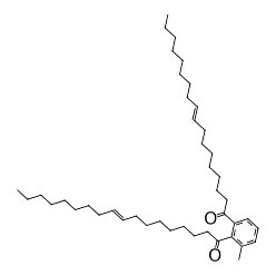 CCCCCCCCC=CCCCCCCCC(=O)c1cccc(C)c1C(=O)CCCCCCCC=CCCCCCCCC